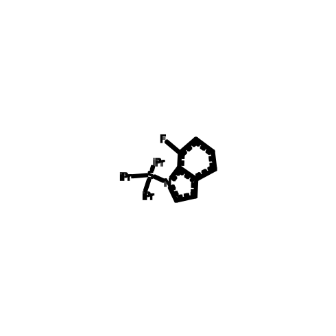 CC(C)S(C(C)C)(C(C)C)n1ccc2cccc(F)c21